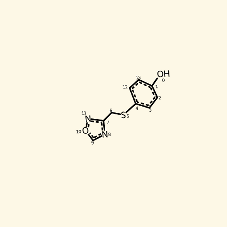 Oc1ccc(SCc2ncon2)cc1